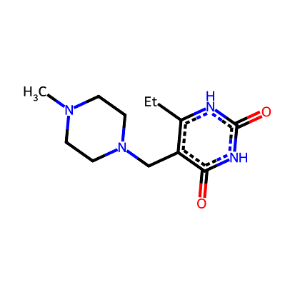 CCc1[nH]c(=O)[nH]c(=O)c1CN1CCN(C)CC1